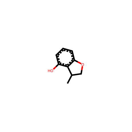 CC1COc2cc[c]c(O)c21